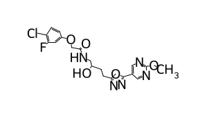 COc1ncc(-c2nnc(CCC(O)CNC(=O)COc3ccc(Cl)c(F)c3)o2)cn1